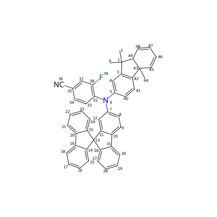 CC1(C)c2cc(N(c3ccc4c(c3)C3(c5ccccc5-c5ccccc53)c3ccccc3-4)c3ccc(C#N)cc3F)ccc2C2(C)C=CC=CC12